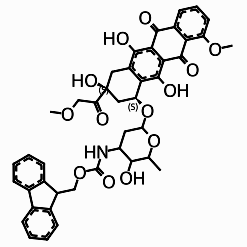 COCC(=O)[C@]1(O)Cc2c(O)c3c(c(O)c2[C@@H](OC2CC(NC(=O)OCC4c5ccccc5-c5ccccc54)C(O)C(C)O2)C1)C(=O)c1c(OC)cccc1C3=O